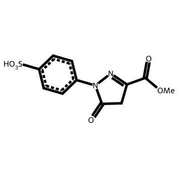 COC(=O)C1=NN(c2ccc(S(=O)(=O)O)cc2)C(=O)C1